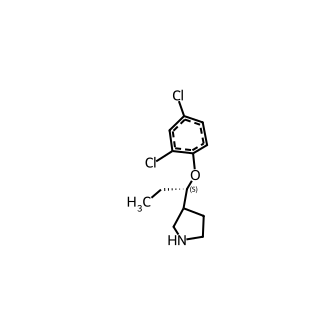 CC[C@H](Oc1ccc(Cl)cc1Cl)C1CCNC1